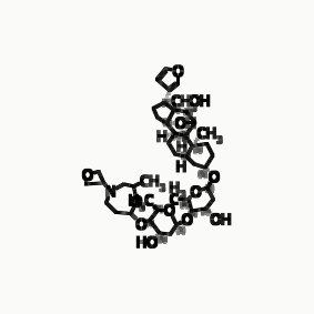 CC1CN(C2COC2)CCC(O[C@H]2[C@@H](O)C[C@H](O[C@H]3[C@@H](O)C[C@H](O[C@H]4CC[C@@]5(C)[C@H](CC[C@@H]6[C@@H]5C[C@@H](O)[C@]5(C)[C@@H](c7ccoc7)CC[C@]65O)C4)O[C@@H]3C)O[C@@H]2C)O1